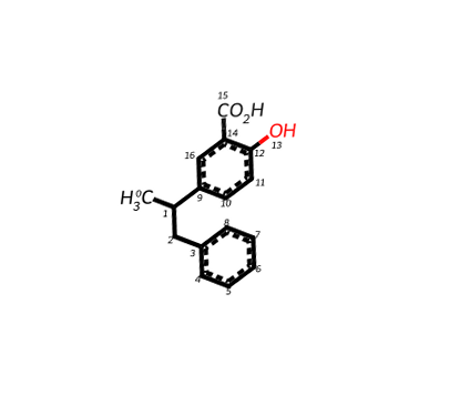 CC(Cc1ccccc1)c1ccc(O)c(C(=O)O)c1